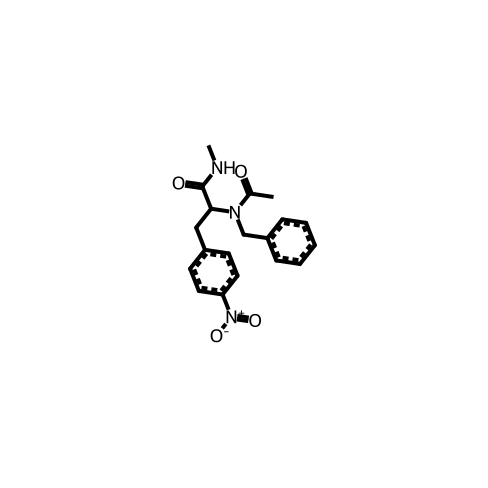 CNC(=O)C(Cc1ccc([N+](=O)[O-])cc1)N(Cc1ccccc1)C(C)=O